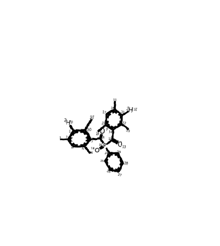 [2H]c1c(C)cc(C)c(C(=O)P(=O)(C(=O)c2c(C)cc(C)c([2H])c2C)c2ccccc2)c1C